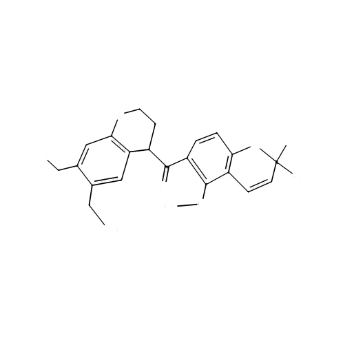 COc1c(C(=O)C2CCOc3cc(CO)c(CO)cc32)ccc2c1C=CC(C)(C)O2